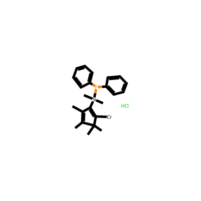 CC1=C(C)C(C)(C)[C]([Cr])=C1[Si](C)(C)P(c1ccccc1)c1ccccc1.Cl